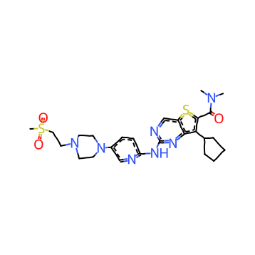 CN(C)C(=O)c1sc2cnc(Nc3ccc(N4CCN(CCS(C)(=O)=O)CC4)cn3)nc2c1C1CCCC1